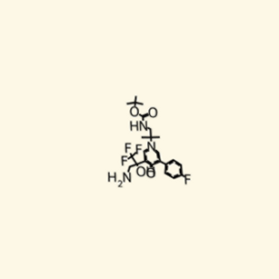 CC(C)(C)OC(=O)NCC(C)(C)n1cc(-c2ccc(F)cc2)c(=O)c(C(O)(CN)C(F)(F)F)c1